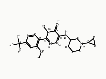 COc1cc(C(F)(F)F)ccc1-c1nnc(NC2CCCN(C3CC3)C2)c(=O)n1C